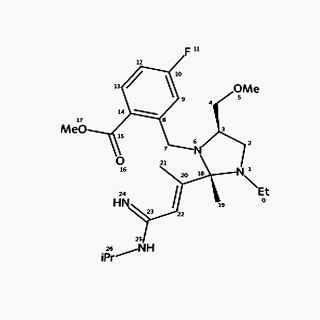 CCN1C[C@H](COC)N(Cc2cc(F)ccc2C(=O)OC)[C@@]1(C)/C(C)=C/C(=N)NC(C)C